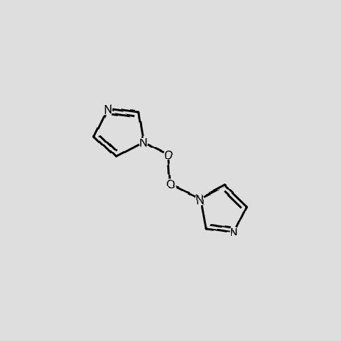 c1cn(OOn2ccnc2)cn1